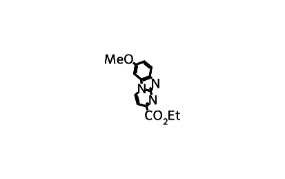 CCOC(=O)c1ccn2c(n1)nc1ccc(OC)cc12